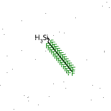 FC(F)(F)C(F)(F)C(F)(F)C(F)(F)C(F)(F)C(F)(F)C(F)(F)C(F)(F)C(F)(F)C(F)(F)C(F)(F)C(F)(F)C(F)(F)C(F)(F)CC[SiH3]